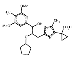 COc1cc(C(O)C(Cc2nc(C3(C(=O)O)CC3)c(C)s2)OC2CCCC2)cc(OC)c1C